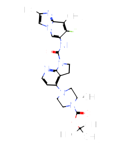 Cc1cn2cc(NC(=O)N3CCc4c(N5CCN(C(=O)OC(C)(C)C)[C@@H](C)C5)ccnc43)c(F)c(C)c2n1